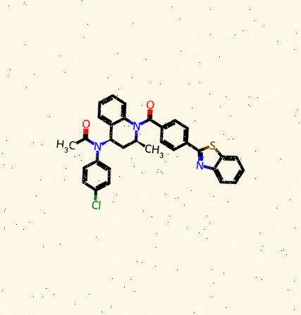 CC(=O)N(c1ccc(Cl)cc1)[C@@H]1C[C@H](C)N(C(=O)c2ccc(-c3nc4ccccc4s3)cc2)c2ccccc21